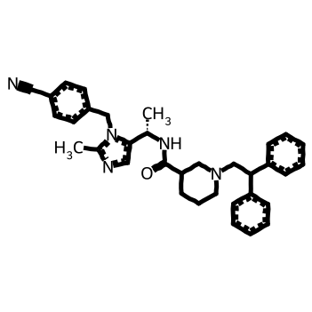 Cc1ncc([C@H](C)NC(=O)C2CCCN(CC(c3ccccc3)c3ccccc3)C2)n1Cc1ccc(C#N)cc1